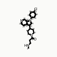 CNCCC(=O)N1CCC(c2cn(-c3ccc(Cl)cc3)c3cnccc23)CC1